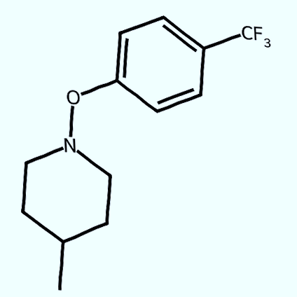 CC1CCN(Oc2ccc(C(F)(F)F)cc2)CC1